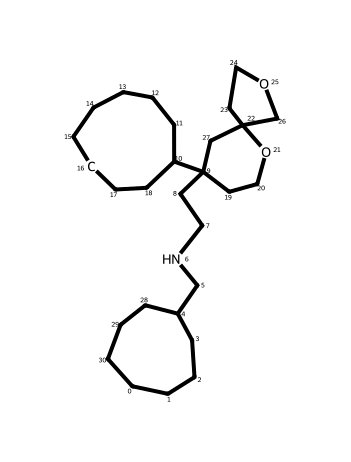 C1CCCC(CNCCC2(C3CCCCCCCC3)CCOC3(CCOC3)C2)CCC1